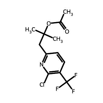 CC(=O)OC(C)(C)Cc1ccc(C(F)(F)F)c(Cl)n1